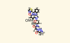 CC[C@H](C)[C@@H]([C@H](C)CC(=O)N1CCC[C@H]1[C@H](OC)[C@@H](C)C(=O)NC(c1ccccc1)c1nccs1)N(C)C(=O)[C@H](C)NC(=O)[C@H](C(C)C)N(C)C